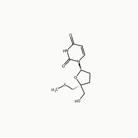 CSC[C@@]1(CO)CC[C@H](n2ccc(=O)[nH]c2=O)O1